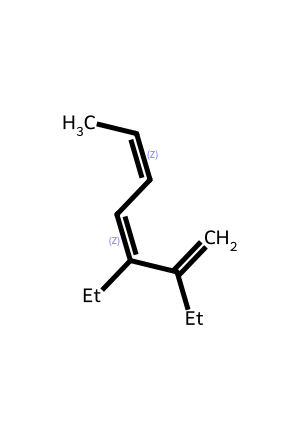 C=C(CC)/C(=C\C=C/C)CC